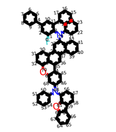 Fc1cc(-c2ccccc2)cc(-c2ccccc2)c1N(c1ccccc1)c1cc2c3cccc4c3c(cc2c2ccccc12)-c1ccc(N(c2ccccc2)c2cccc3c2oc2ccccc23)cc1O4